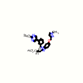 CCC(CC)(Cc1nc2ccc(OCc3ccn(C)n3)cc2n1Cc1cccc(-c2cnc(OC)nc2)c1)C(=O)O